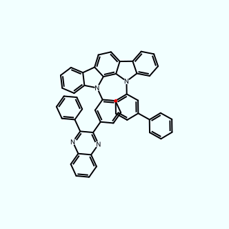 c1ccc(-c2cccc(-n3c4ccccc4c4ccc5c6ccccc6n(-c6cccc(-c7nc8ccccc8nc7-c7ccccc7)c6)c5c43)c2)cc1